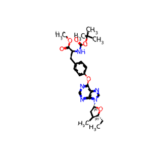 CC[C@H]1O[C@@H](n2cnc3c(Oc4ccc(CC(NC(=O)OC(C)(C)C)C(=O)OC)cc4)ncnc32)CC1C